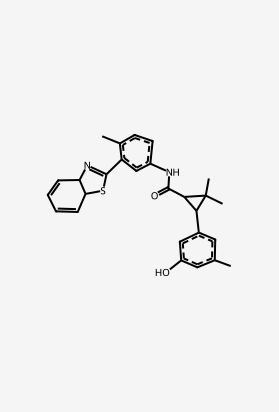 Cc1cc(O)cc(C2C(C(=O)Nc3ccc(C)c(C4=NC5C=CC=CC5S4)c3)C2(C)C)c1